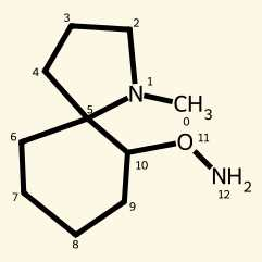 CN1CCCC12CCCCC2ON